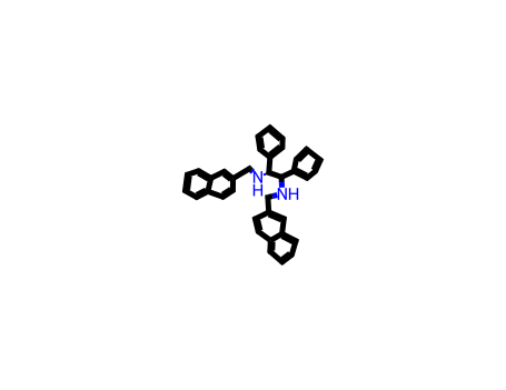 c1ccc(C(NCc2ccc3ccccc3c2)[C@H](NCc2ccc3ccccc3c2)c2ccccc2)cc1